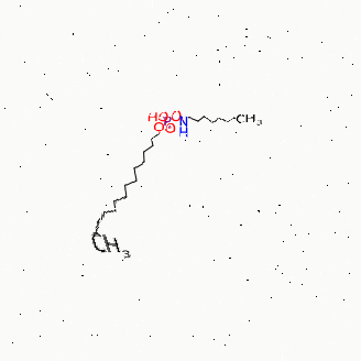 CCCCCCCCCCCCCCCOP(=O)(O)ONCCCCCCCC